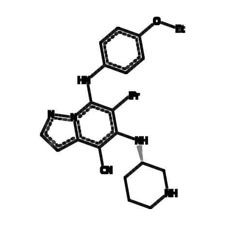 CCOc1ccc(Nc2c(C(C)C)c(N[C@H]3CCCNC3)c(C#N)c3ccnn23)cc1